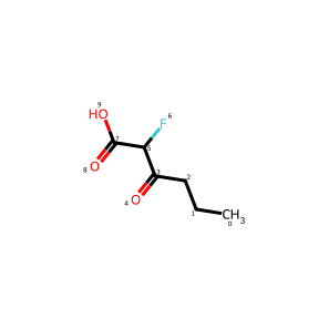 CCCC(=O)C(F)C(=O)O